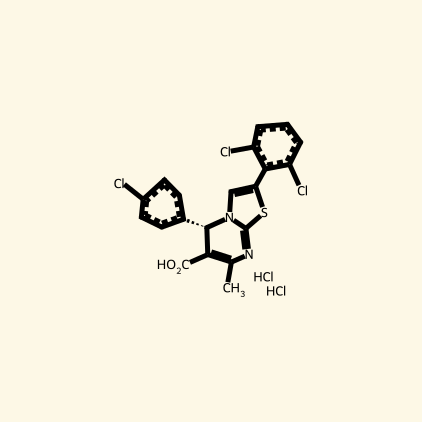 CC1=C(C(=O)O)[C@H](c2ccc(Cl)cc2)N2C=C(c3c(Cl)cccc3Cl)SC2=N1.Cl.Cl